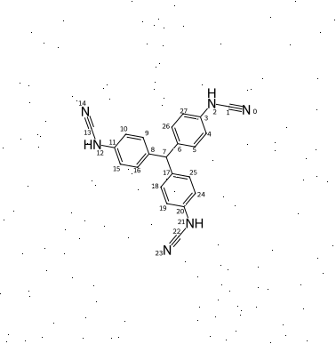 N#CNc1ccc(C(c2ccc(NC#N)cc2)c2ccc(NC#N)cc2)cc1